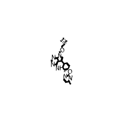 Cc1ccnc(Oc2ccc(-c3cn(COCC[Si](C)(C)C)c4ncnc(N)c34)cc2)n1